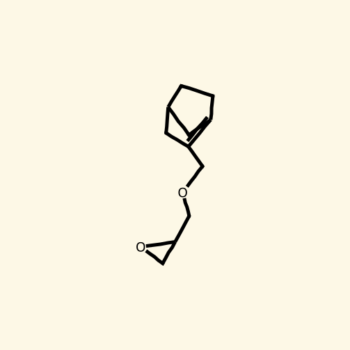 C1CC2CC1=C(COCC1CO1)C2